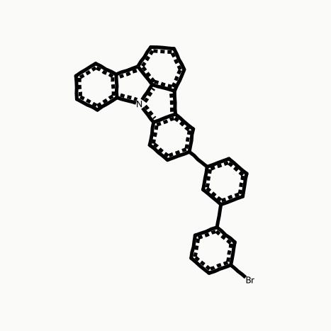 Brc1cccc(-c2cccc(-c3ccc4c(c3)c3cccc5c6ccccc6n4c53)c2)c1